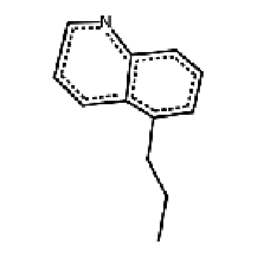 CCCc1cccc2ncccc12